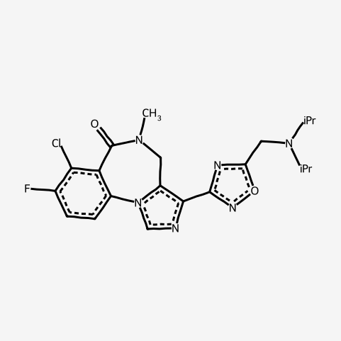 CC(C)N(Cc1nc(-c2ncn3c2CN(C)C(=O)c2c-3ccc(F)c2Cl)no1)C(C)C